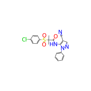 CC(C)(C(=O)Nc1c(C#N)cnn1-c1ccccc1)S(=O)(=O)c1ccc(Cl)cc1